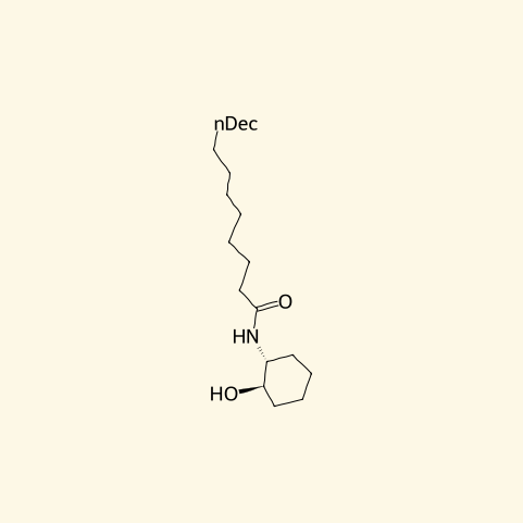 CCCCCCCCCCCCCCCCCC(=O)N[C@@H]1CCCC[C@H]1O